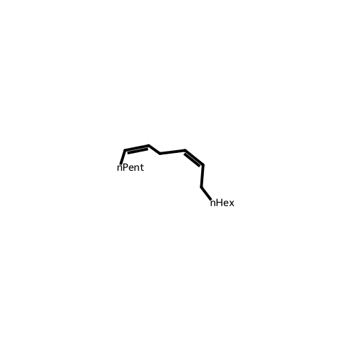 CCCCC/C=C\C/C=C\CCCCCCC